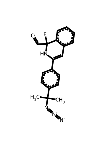 CC(C)(N=[N+]=[N-])c1ccc(C2=Cc3ccccc3C(F)(C=O)N2)cc1